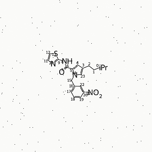 CC(C)CCc1cc(C(=O)Nc2nccs2)n(Cc2cccc([N+](=O)[O-])c2)c1